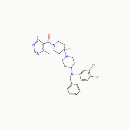 Cc1ncnc(C)c1C(=O)N1CCC(C)(N2CCC(N(Cc3ccccc3)c3ccc(F)c(Cl)c3)CC2)CC1